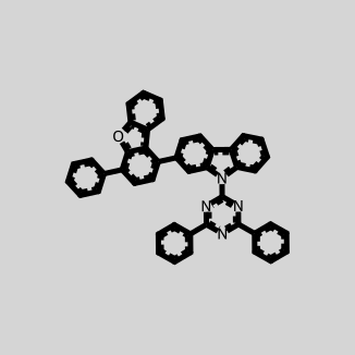 c1ccc(-c2nc(-c3ccccc3)nc(-n3c4ccccc4c4ccc(-c5ccc(-c6ccccc6)c6oc7ccccc7c56)cc43)n2)cc1